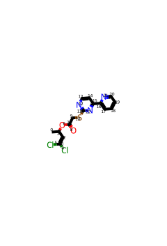 CC(C=C(Cl)Cl)OC(=O)CSc1nccc(-c2ccccn2)n1